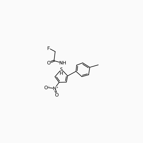 Cc1ccc(C2=CC([N+](=O)[O-])=C[SH]2NC(=O)CF)cc1